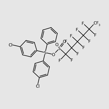 O=S(=O)(OS(c1ccccc1)(c1ccc(Cl)cc1)c1ccc(Cl)cc1)C(F)(F)C(F)(F)C(F)(F)C(F)(F)C(F)(F)C(F)(F)F